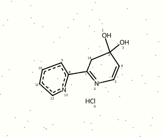 Cl.OC1(O)C=CN=C(c2ccccn2)C1